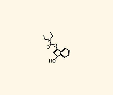 CCN(CC)C(=O)OC1=CC(O)c2ccccc21